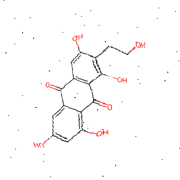 O=C1c2cc(O)cc(O)c2C(=O)c2c1cc(O)c(CCO)c2O